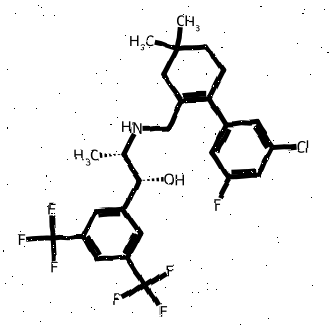 C[C@H](NCC1=C(c2cc(F)cc(Cl)c2)CCC(C)(C)C1)[C@H](O)c1cc(C(F)(F)F)cc(C(F)(F)F)c1